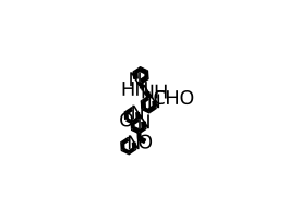 O=CN1C=CC(N2CCOc3cc(C(=O)N4CCCCC4)cnc32)=CC1NNc1ccccn1